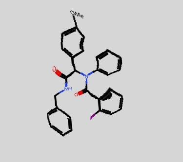 COc1ccc(C(C(=O)NCc2ccccc2)N(C(=O)c2ccccc2I)c2ccccc2)cc1